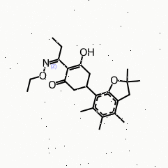 CCO/N=C(/CC)C1=C(O)CC(c2c(C)c(C)c(C)c3c2OC(C)(C)C3)CC1=O